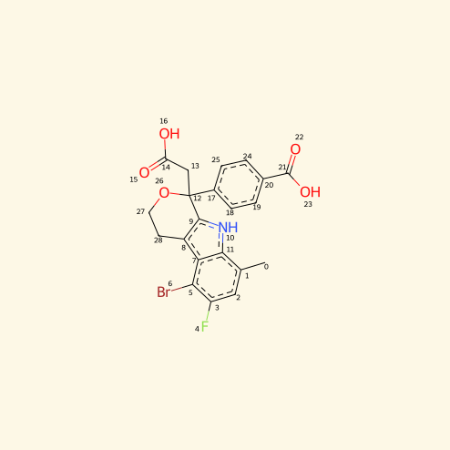 Cc1cc(F)c(Br)c2c3c([nH]c12)C(CC(=O)O)(c1ccc(C(=O)O)cc1)OCC3